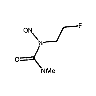 CNC(=O)N(CCF)N=O